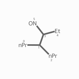 CCCC(CCC)C(CC)N=O